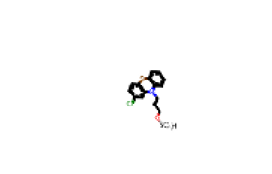 O=S(=O)(O)OCCCN1c2ccccc2Sc2ccc(Cl)cc21